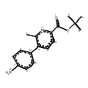 Cc1nc(C(=O)OC(C)(C)C)ccc1-c1ccc(N)cc1